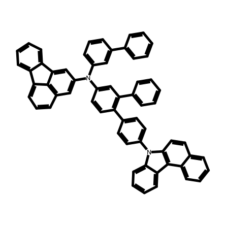 c1ccc(-c2cccc(N(c3ccc(-c4ccc(-n5c6ccccc6c6c7ccccc7ccc65)cc4)c(-c4ccccc4)c3)c3cc4c5c(cccc5c3)-c3ccccc3-4)c2)cc1